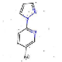 O=Nc1ccc(-n2cccn2)nc1